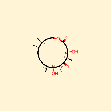 C[C@H]1CCC[C@H](C)[C@@H](C)CCOC(=O)C[C@H](O)[C@@H](C)C(=O)[C@H](C)[C@H]1O